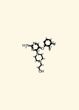 Nc1ncc(Oc2cccc(F)c2F)c(N2CCN(CCO)CC2)n1